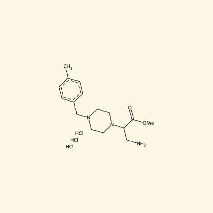 COC(=O)C(CN)N1CCN(Cc2ccc(C)cc2)CC1.Cl.Cl.Cl